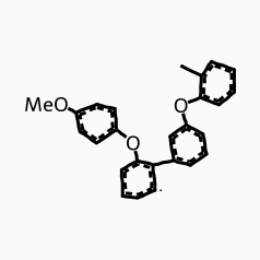 COc1ccc(Oc2ccc[c]c2-c2cccc(Oc3ccccc3C)c2)cc1